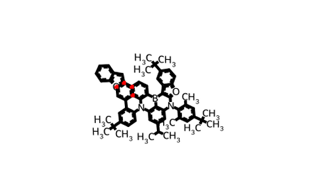 Cc1cc(C(C)(C)C)cc(C)c1N1c2cc(C(C)C)cc3c2B(c2ccc(-c4cc5ccccc5o4)cc2N3c2ccc(C(C)(C)C)cc2-c2ccccc2)c2c1oc1ccc(C(C)(C)C)cc21